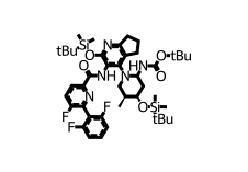 C[C@H]1CN(c2c3c(nc(O[Si](C)(C)C(C)(C)C)c2NC(=O)c2ccc(F)c(-c4c(F)cccc4F)n2)CCC3)C(NC(=O)OC(C)(C)C)C[C@H]1O[Si](C)(C)C(C)(C)C